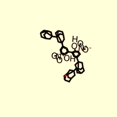 O=[N+]([O-])c1cc(C23CC4CC(C2)CC(C25CC6CC(CC(C6)C2)C5)(C4)C3)cc(-c2cc(C34CC5CC(C3)CC(C36CC7CC(CC(C7)C3)C6)(C5)C4)cc([N+](=O)[O-])c2O)c1O